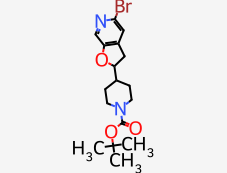 CC(C)(C)OC(=O)N1CCC(C2Cc3cc(Br)ncc3O2)CC1